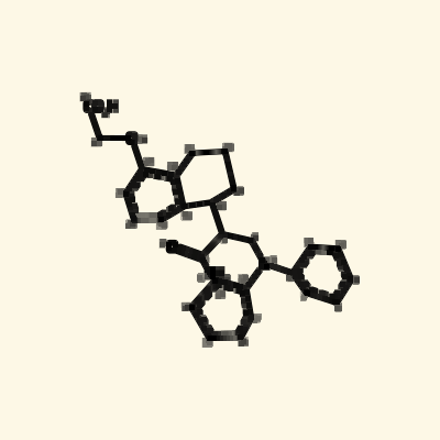 NC(=O)C(CN(c1ccccc1)c1ccccc1)C1CCCc2c(OCC(=O)O)cccc21